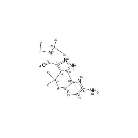 CCN(C(=O)c1n[nH]c2c1C(C)(C)Cc1cnc(N)nc1-2)C(C)C